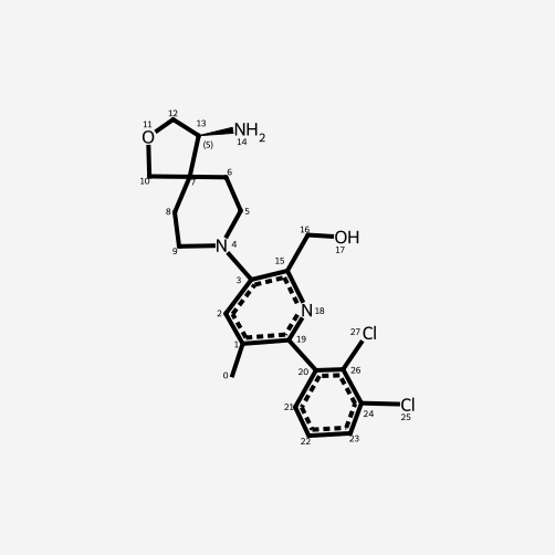 Cc1cc(N2CCC3(CC2)COC[C@H]3N)c(CO)nc1-c1cccc(Cl)c1Cl